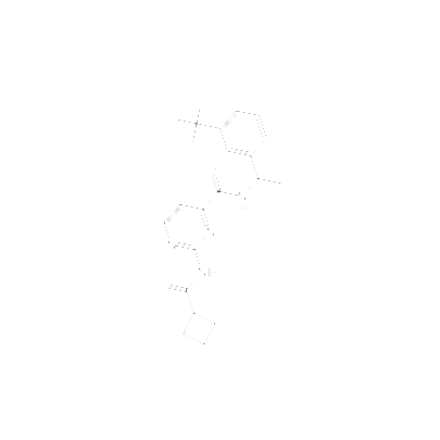 CC(NC(=O)c1ccnc(NC(=O)C2CCC2)n1)c1cccc(C(F)(F)F)c1